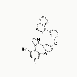 Cc1cc(C(C)C)c(-n2ccnc2-c2cccc(Oc3cccc(-c4nccc5ccccc45)c3)c2)c(C(C)C)c1